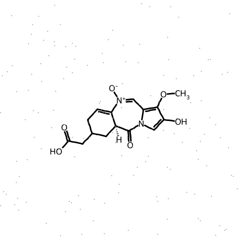 COc1c(O)cn2c1C=[N+]([O-])C1=CCC(CC(=O)O)C[C@@H]1C2=O